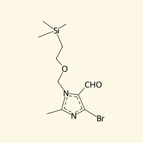 Cc1nc(Br)c(C=O)n1COCC[Si](C)(C)C